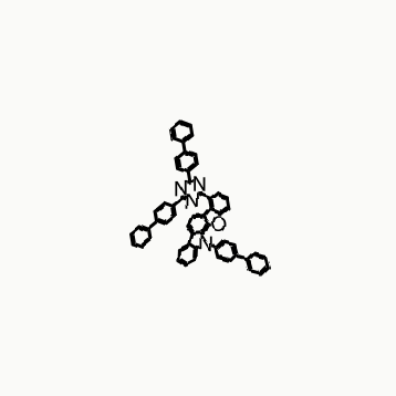 c1ccc(-c2ccc(-c3nc(-c4ccc(-c5ccccc5)cc4)nc(-c4cccc5oc6c(ccc7c8ccccc8n(-c8ccc(-c9ccccc9)cc8)c76)c45)n3)cc2)cc1